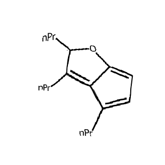 CCC[C]1OC2=CC=C(CCC)C2=C1CCC